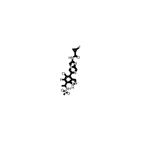 CC(NS(C)(=O)=O)c1c(F)c(Cl)c(-c2cn3cc(NC(=O)C4CC4F)nc3cn2)c2cn[nH]c12